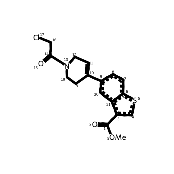 COC(=O)c1csc2ccc(C3=CCN(C(=O)CCl)CC3)cc12